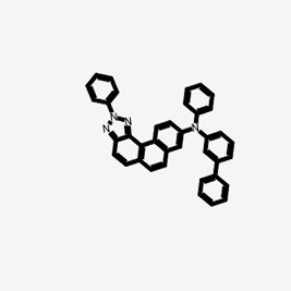 c1ccc(-c2cccc(N(c3ccccc3)c3ccc4c(ccc5ccc6nn(-c7ccccc7)nc6c54)c3)c2)cc1